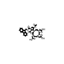 CC(=O)O[C@H]1CN(C(=O)OCC2c3ccccc3-c3ccccc32)[C@H](C(=O)O)[C@@H]1N1CCN(CC(=O)O)CCN(CC(=O)O)CCN(CC(=O)O)CC1